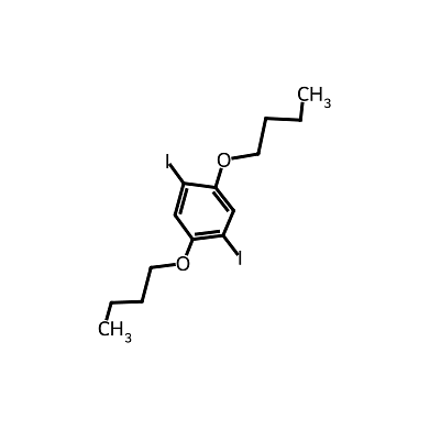 CCCCOc1cc(I)c(OCCCC)cc1I